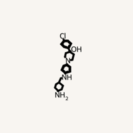 NC1CCC(CNc2ccc(N3CCC(O)(c4ccc(Cl)cc4)CC3)cc2)CC1